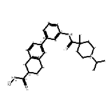 CC(C)N1CCC(C)(C(=O)Nc2cccc(-c3ccc4c(c3)CCC(C(=O)NO)C4)c2)CC1